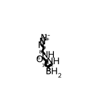 Bc1c[nH]c(C(=O)NCCN=[N+]=[N-])c1